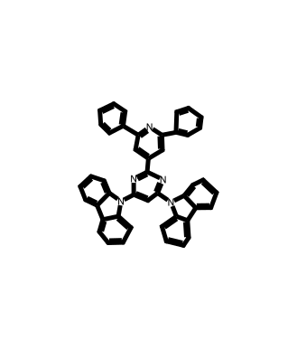 c1ccc(-c2cc(-c3nc(-n4c5ccccc5c5ccccc54)cc(-n4c5ccccc5c5ccccc54)n3)cc(-c3ccccc3)n2)cc1